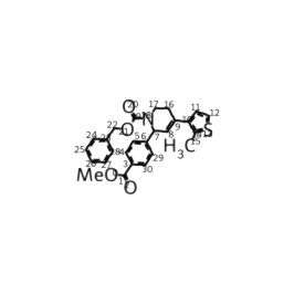 COC(=O)c1ccc(C2C=C(c3ccsc3C)CCN2C(=O)OCc2ccccc2)cc1